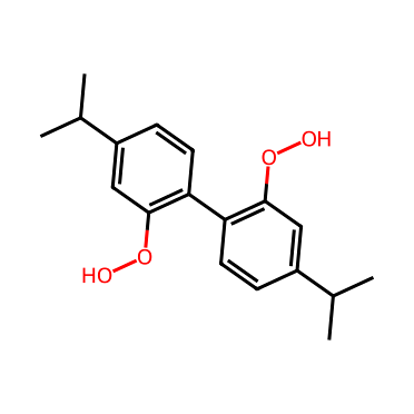 CC(C)c1ccc(-c2ccc(C(C)C)cc2OO)c(OO)c1